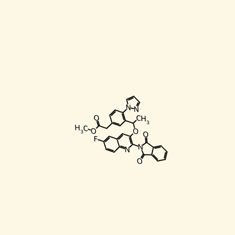 COC(=O)Cc1ccc(-n2cccn2)c(C(C)Oc2cc3cc(F)ccc3nc2N2C(=O)c3ccccc3C2=O)c1